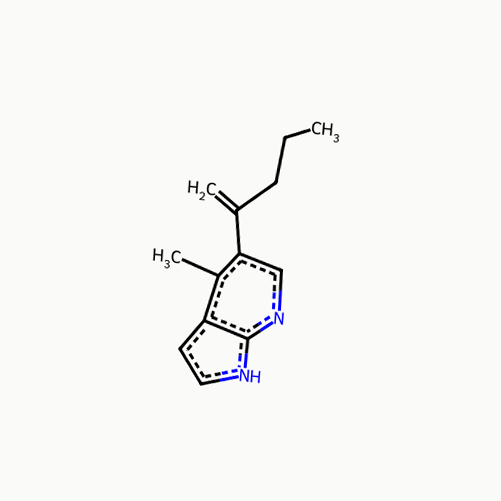 C=C(CCC)c1cnc2[nH]ccc2c1C